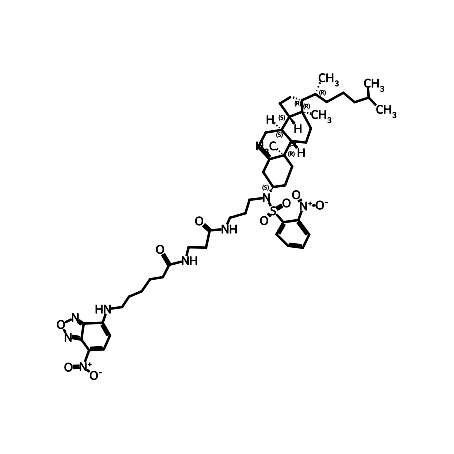 CC(C)CCC[C@@H](C)[C@H]1CC[C@H]2[C@@H]3CC=C4C[C@@H](N(CCCNC(=O)CCNC(=O)CCCCCNc5ccc([N+](=O)[O-])c6nonc56)S(=O)(=O)c5ccccc5[N+](=O)[O-])CC[C@]4(C)[C@H]3CC[C@]12C